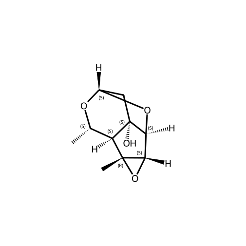 C[C@@H]1O[C@@H]2C[C@@]3(O)[C@@H](O2)[C@@H]2O[C@]2(C)[C@@H]13